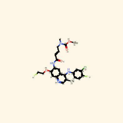 CN(C/C=C/C(=O)Nc1cc2c(Nc3ccc(F)c(Cl)c3)c(C#N)cnc2cc1OCCF)C(=O)OC(C)(C)C